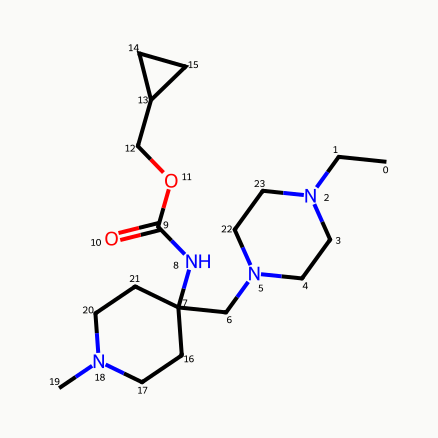 CCN1CCN(CC2(NC(=O)OCC3CC3)CCN(C)CC2)CC1